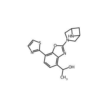 CC(O)c1ccc(-c2nccs2)c2oc(N3CC4CC(C3)N4)nc12